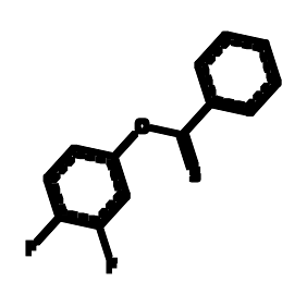 Fc1ccc(OC(=S)c2ccccc2)cc1F